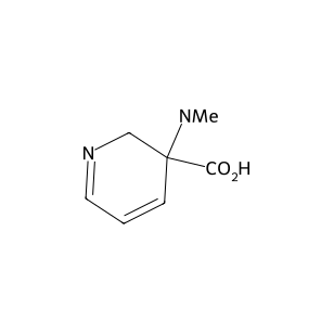 CNC1(C(=O)O)C=CC=NC1